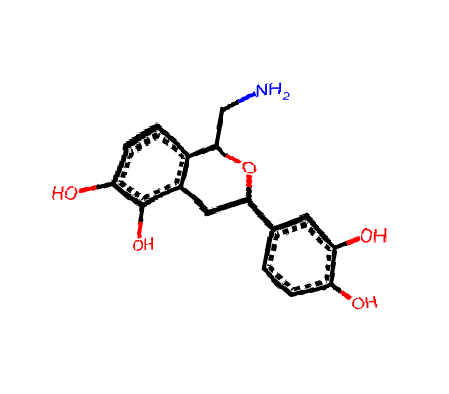 NCC1OC(c2ccc(O)c(O)c2)Cc2c1ccc(O)c2O